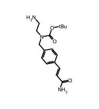 CC(C)(C)OC(=O)N(CCN)Cc1ccc(/C=C/C(N)=O)cc1